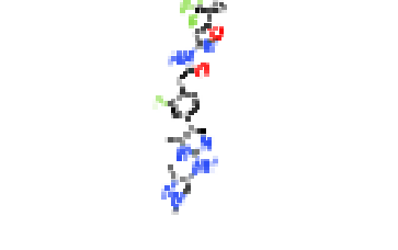 Cc1nn(C)cc1Nc1ncc(-c2ccc(CC(=O)Nc3cc(C4(C(F)(F)F)CC4)on3)c(F)c2)c(C)n1